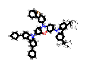 CC(C)(C)c1ccc2c(c1)c1cc(C(C)(C)C)ccc1n2-c1ccc2c(c1)Oc1cc(-n3c4ccc(-c5ccccc5)cc4c4cc(-c5ccccc5)ccc43)ccc1N2c1ccc2sc3ccccc3c2c1